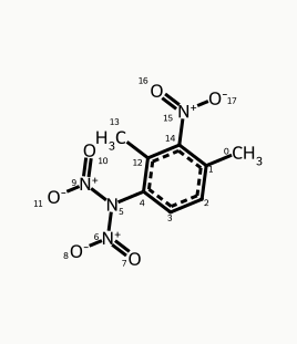 Cc1ccc(N([N+](=O)[O-])[N+](=O)[O-])c(C)c1[N+](=O)[O-]